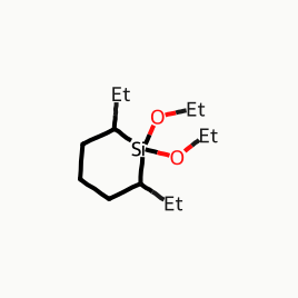 CCO[Si]1(OCC)C(CC)CCCC1CC